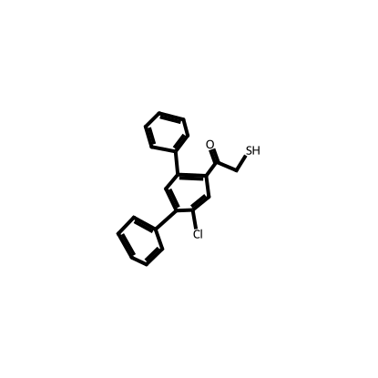 O=C(CS)c1cc(Cl)c(-c2ccccc2)cc1-c1ccccc1